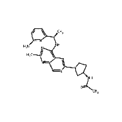 CC(=O)N[C@@H]1CCN(c2cc3c(N[C@H](C)c4cccc(N)n4)nc(C)nc3cn2)C1